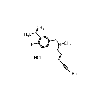 C=C(C)c1cc(CN(C)CC=CC#CC(C)(C)C)ccc1F.Cl